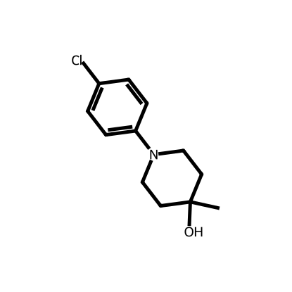 CC1(O)CCN(c2ccc(Cl)cc2)CC1